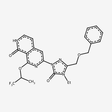 CCn1c(COCc2ccccc2)nn(-c2cc3cc[nH]c(=O)c3c(OC(C)C(F)(F)F)n2)c1=O